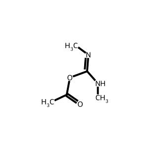 CN=C(NC)OC(C)=O